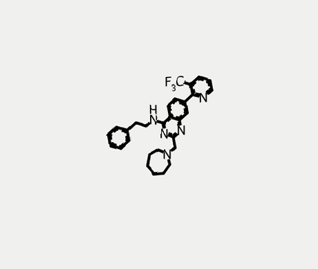 FC(F)(F)c1cccnc1-c1ccc2c(NCCc3ccccc3)nc(CN3CCCCCC3)nc2c1